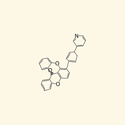 O=P12c3ccccc3Oc3ccc(C4=CCC(c5cccnc5)C=C4)c(c31)Oc1ccccc12